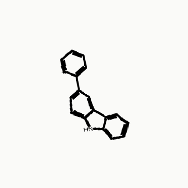 [c]1ccccc1-c1ccc2[nH]c3ccccc3c2c1